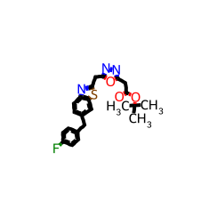 CC(C)(C)OC(=O)Cc1nnc(Cc2nc3ccc(Cc4ccc(F)cc4)cc3s2)o1